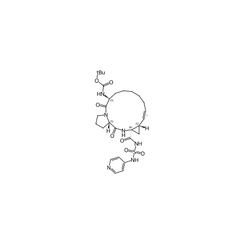 CC(C)(C)OC(=O)N[C@H]1CCCCC/C=C\[C@@H]2C[C@@]2(C(=O)NS(=O)(=O)Nc2ccncc2)NC(=O)[C@@H]2CCCN2C1=O